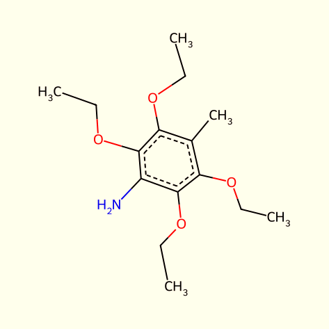 CCOc1c(C)c(OCC)c(OCC)c(N)c1OCC